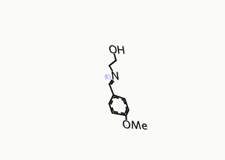 COc1ccc(/C=N/CCO)cc1